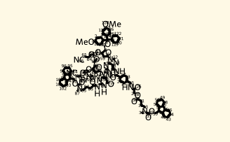 COc1ccc(C(OC[C@H]2O[C@@H](n3cnc4c(NC(=O)c5ccc(CNC(=O)COC(=O)CCCN(C)C(=O)OCC6c7ccccc7-c7ccccc76)cc5)ncnc43)CC2OP(OCCC#N)OC[C@H]2O[C@@H](n3cnc4c(=O)[nH]c(NC(=O)CCCN(C)C(=O)OCC5c6ccccc6-c6ccccc65)nc43)CC2OP(OCCC#N)N(C(C)C)C(C)C)(c2ccccc2)c2ccc(OC)cc2)cc1